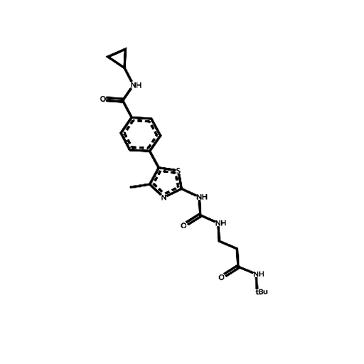 Cc1nc(NC(=O)NCCC(=O)NC(C)(C)C)sc1-c1ccc(C(=O)NC2CC2)cc1